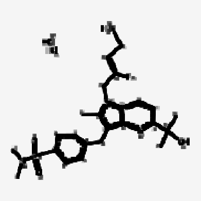 Cc1c(Cc2ccc(S(=O)(=O)N(C)C)cc2)c2nc(C(C)(C)O)ccc2n1CC(F)=CCN.Cl.Cl